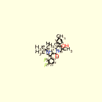 Cc1ccc(C2(O)[C@H](C)CN(C(=O)[C@@H]3CN(C(C)(C)C)C[C@H]3c3cccc(F)c3F)C[C@@H]2C)cc1